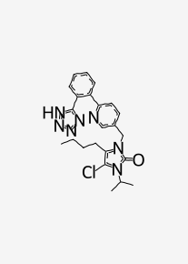 CCCCc1c(Cl)n(C(C)C)c(=O)n1Cc1ccc(-c2ccccc2-c2nnn[nH]2)nc1